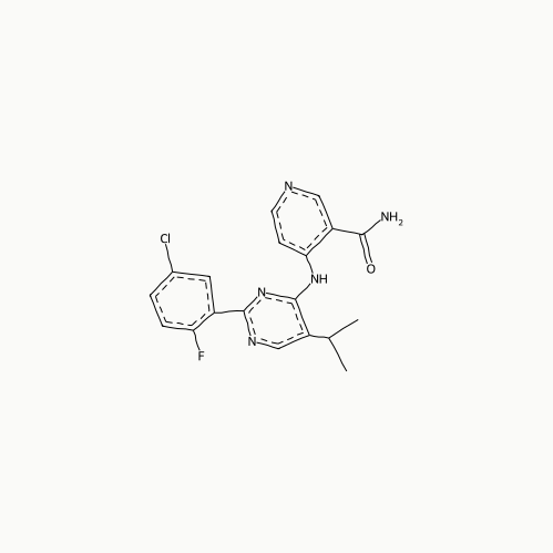 CC(C)c1cnc(-c2cc(Cl)ccc2F)nc1Nc1ccncc1C(N)=O